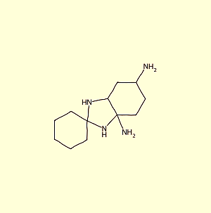 NC1CCC2(N)NC3(CCCCC3)NC2C1